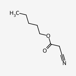 CCCCCOC(=O)CC#N